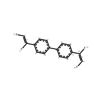 F/C=C(\F)c1ccc(-c2ccc(/C(F)=C\F)cc2)cc1